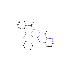 C=C(c1ccccc1CCC1CCCCC1)C1CCN(Cc2cccnc2OC)CC1